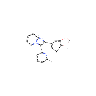 Cc1cccc(-c2c(-c3ccc4c(c3)OCO4)nc3ccccn23)n1